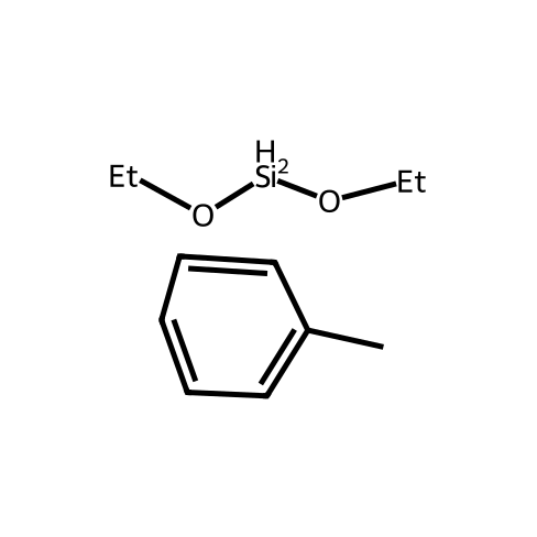 CCO[SiH2]OCC.Cc1ccccc1